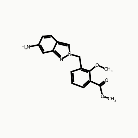 COC(=O)c1cccc(Cn2cc3ccc(N)cc3n2)c1OC